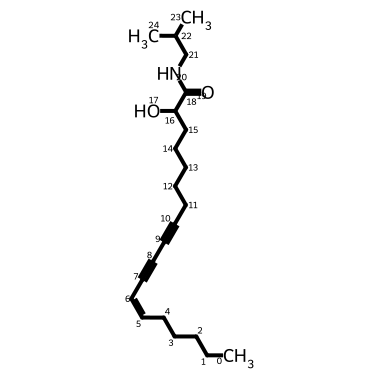 CCCCC/C=C\C#CC#CCCCCCC(O)C(=O)NCC(C)C